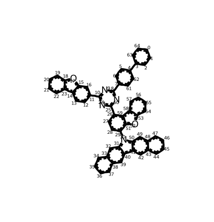 c1ccc(-c2ccc(-c3nc(-c4ccc5c(c4)oc4ccccc45)nc(-c4ccc(-n5c6cc7ccccc7cc6c6cc7ccccc7cc65)c5oc6ccccc6c45)n3)cc2)cc1